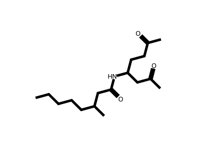 CCCCCC(C)CC(=O)NC(CCC(C)=O)CC(C)=O